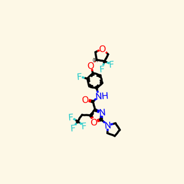 O=C(Nc1ccc(O[C@@H]2COCC2(F)F)c(F)c1)c1nc(N2CCCC2)oc1CC(F)(F)F